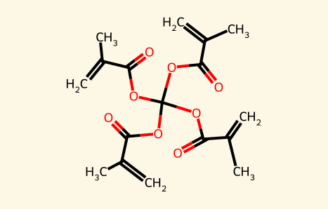 C=C(C)C(=O)OC(OC(=O)C(=C)C)(OC(=O)C(=C)C)OC(=O)C(=C)C